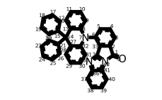 O=C1c2cccc(N3c4ccccc4C(c4ccccc4)(c4ccccc4)c4ccccc43)c2-c2nc3ccccc3n21